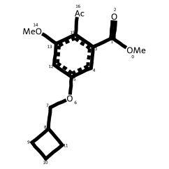 COC(=O)c1cc(OCC2CCC2)cc(OC)c1C(C)=O